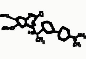 COc1cc2nc(Cl)nc(NC(C)c3cccc(-c4ccc(N(C)C)cc4)c3)c2cc1OC